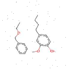 CCOCc1ccccc1.[CH2]CCCc1ccc(O)c(OC)c1